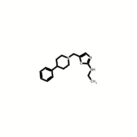 CCNc1ncc(CN2CCC(c3ccccc3)CC2)o1